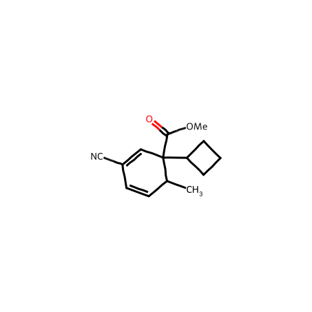 COC(=O)C1(C2CCC2)C=C(C#N)C=CC1C